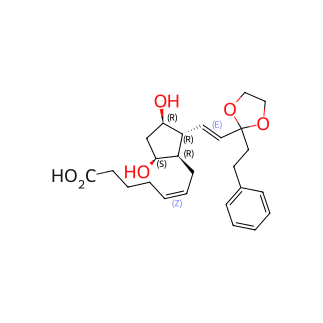 O=C(O)CCC/C=C\C[C@@H]1[C@@H](/C=C/C2(CCc3ccccc3)OCCO2)[C@H](O)C[C@@H]1O